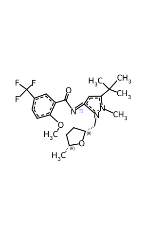 COc1ccc(C(F)(F)F)cc1C(=O)/N=c1\cc(C(C)(C)C)n(C)n1C[C@H]1CC[C@@H](C)O1